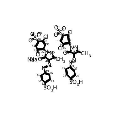 CC1=NN(c2cc(Cl)c(S(=O)(=O)[O-])cc2Cl)C(=O)C1N=Nc1ccc(S(=O)(=O)O)cc1.CC1=NN(c2cc(Cl)c(S(=O)(=O)[O-])cc2Cl)C(=O)C1N=Nc1ccc(S(=O)(=O)O)cc1.[Na+].[Na+]